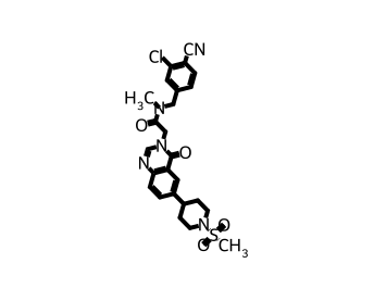 CN(Cc1ccc(C#N)c(Cl)c1)C(=O)Cn1cnc2ccc(C3CCN(S(C)(=O)=O)CC3)cc2c1=O